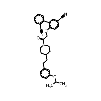 CC(C)Oc1cccc(CCC2CCN(C(=O)COc3ccc(C#N)cc3-c3ccccc3C#N)CC2)c1